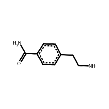 [NH]CCc1ccc(C(N)=O)cc1